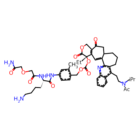 CC[C@@]1(OC(=O)OCc2ccc(NC(=O)[C@H](CCCCN)NC(=O)COCC(N)=O)cc2C)C(=O)OCC2=C1C=C1c3nc4ccccc4c(CCN(C(C)=O)C(C)C)c3CCCC1CC2=O